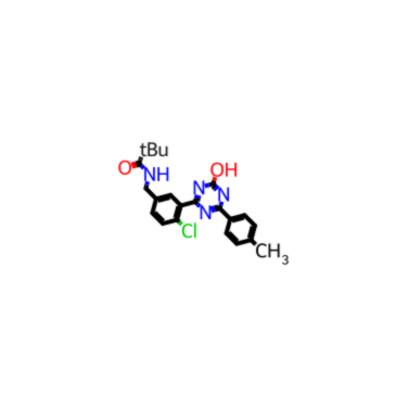 Cc1ccc(-c2nc(O)nc(-c3cc(CNC(=O)C(C)(C)C)ccc3Cl)n2)cc1